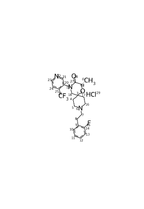 C[C@@H]1OC2(CCN(CCc3ccccc3F)CC2)CN(c2cnccc2C(F)(F)F)C1=O.Cl